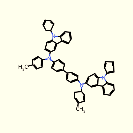 CC1=CCC(N(c2ccc(-c3ccc(N(c4ccc(C)cc4)c4ccc5c(c4)c4ccccc4n5C4C=CC=CC4)cc3)cc2)c2ccc3c(c2)c2ccccc2n3-c2ccccc2)C=C1